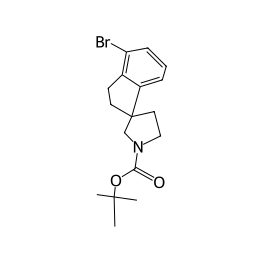 CC(C)(C)OC(=O)N1CCC2(CCc3c(Br)cccc32)C1